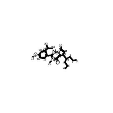 CCCC(CCC)c1cc(C)n2nc(-c3ccc(OC)cc3C(C)C)n(C)c(=O)c12